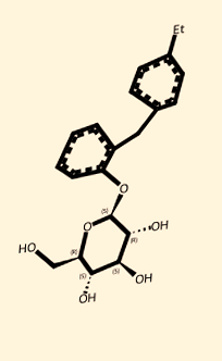 CCc1ccc(Cc2ccccc2O[C@@H]2O[C@H](CO)[C@@H](O)[C@H](O)[C@H]2O)cc1